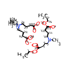 CCOC(=O)CCCN(C)CCCC(=O)OCC.CN(CCCC(=O)[O-])CCCC(=O)[O-].[K+].[K+]